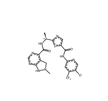 C[C@H](NC(=O)c1ncnc2c1CN(C)N2)c1ncc(C(=O)Nc2cc(C(F)(F)F)c(Cl)cn2)s1